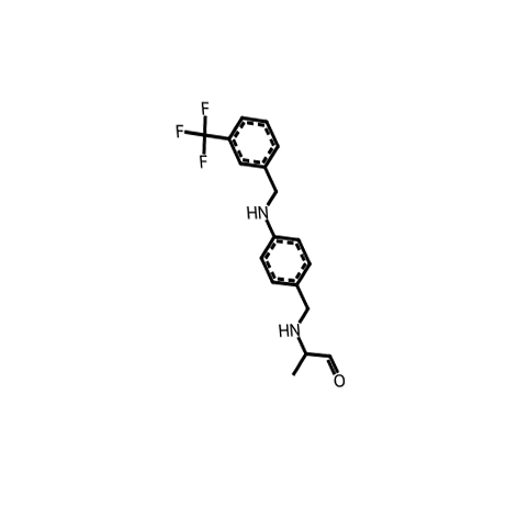 CC(C=O)NCc1ccc(NCc2cccc(C(F)(F)F)c2)cc1